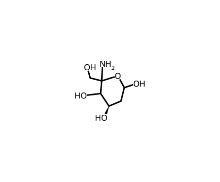 NC1(CO)OC(O)C[C@@H](O)C1O